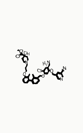 COC(=O)C1(O)CCN(CCCOc2cccc(-c3cccc(COc4cc(OCc5cncc(C#N)c5)c(CN)cc4Cl)c3C)c2C)CC1